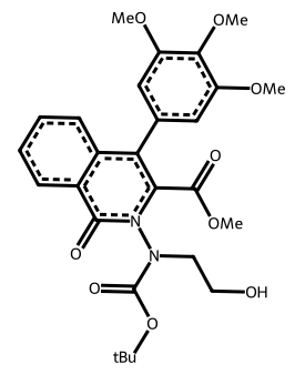 COC(=O)c1c(-c2cc(OC)c(OC)c(OC)c2)c2ccccc2c(=O)n1N(CCO)C(=O)OC(C)(C)C